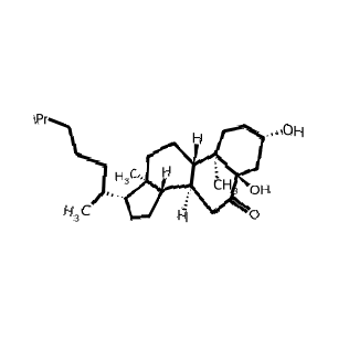 CC(C)CCCC(C)[C@H]1CC[C@H]2[C@@H]3CC(=O)[C@@]4(O)C[C@@H](O)CC[C@]4(C)[C@H]3CC[C@]12C